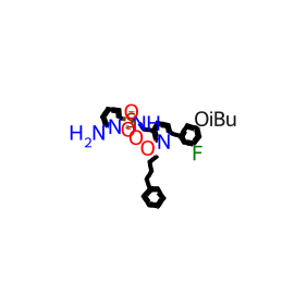 CC(C)COc1cc(F)cc(-c2ccc(C(=O)NS(=O)(=O)c3cccc(N)n3)c(OCCCCc3ccccc3)n2)c1